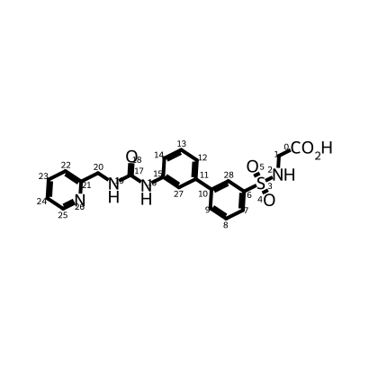 O=C(O)CNS(=O)(=O)c1cccc(-c2cccc(NC(=O)NCc3ccccn3)c2)c1